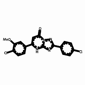 COc1cc(-c2cc(=O)n3nc(-c4ccc(Cl)cc4)nc3[nH]2)ccc1Cl